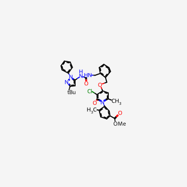 COC(=O)c1ccc(C)c(-n2c(C)cc(OCc3ccccc3CNC(=O)Nc3cc(C(C)(C)C)nn3-c3ccccc3)c(Cl)c2=O)c1